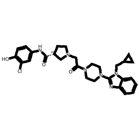 O=C(Nc1ccc(O)c(Cl)c1)[C@@H]1CCN(CC(=O)N2CCN(c3nc4ccccc4n3CC3CC3)CC2)C1